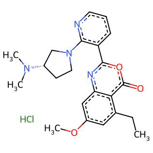 CCc1cc(OC)cc2nc(-c3cccnc3N3CC[C@H](N(C)C)C3)oc(=O)c12.Cl